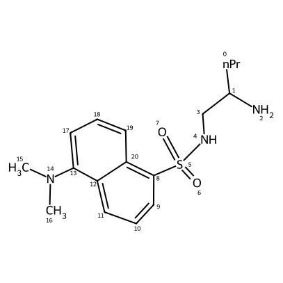 CCCC(N)CNS(=O)(=O)c1cccc2c(N(C)C)cccc12